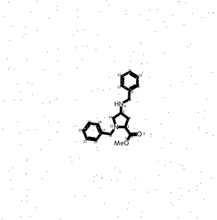 COC(=O)C1CC(NCc2ccccc2)CN1Cc1ccccc1